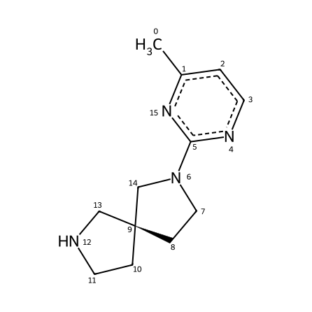 Cc1ccnc(N2CC[C@]3(CCNC3)C2)n1